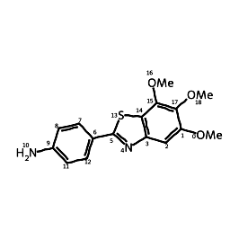 COc1cc2nc(-c3ccc(N)cc3)sc2c(OC)c1OC